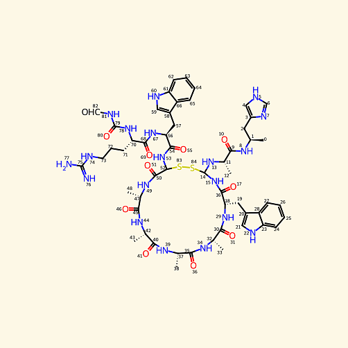 C[C@H](Cc1c[nH]cn1)NC(=O)[C@H](C)NC1NC(=O)[C@H](Cc2c[nH]c3ccccc23)NC(=O)[C@H](C)NC(=O)[C@H](C)NC(=O)[C@H](C)NC(=O)[C@H](C)NC(=O)C(NC(=O)[C@H](Cc2c[nH]c3ccccc23)NC(=O)[C@H](CCCNC(=N)N)NC(=O)NC=O)SS1